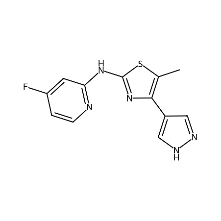 Cc1sc(Nc2cc(F)ccn2)nc1-c1cn[nH]c1